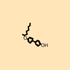 CCCCCCC(C)Oc1ccc(-c2ccc(O)cc2)cc1